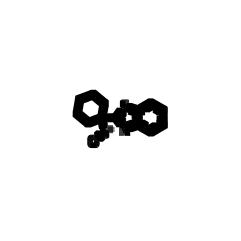 O=[S+]C1(c2nc3ccccc3s2)CCCCC1